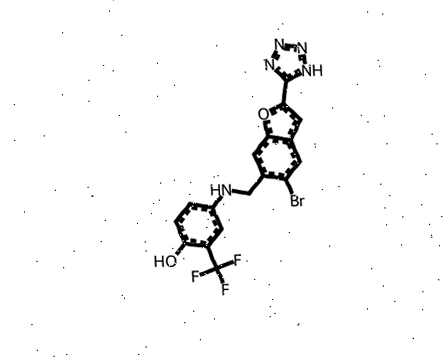 Oc1ccc(NCc2cc3oc(-c4nnn[nH]4)cc3cc2Br)cc1C(F)(F)F